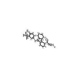 NC(=O)c1cccc2c1c1[c]cccc1n2Cc1ccc(F)c(C(F)(F)F)c1